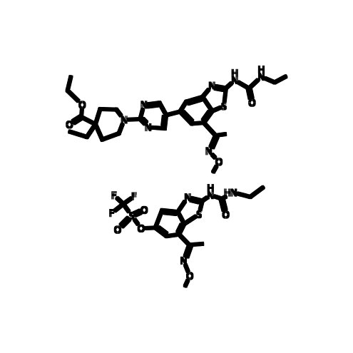 CCNC(=O)Nc1nc2cc(-c3cnc(N4CCC(CC)(C(=O)OCC)CC4)nc3)cc(/C(C)=N/OC)c2s1.CCNC(=O)Nc1nc2cc(OS(=O)(=O)C(F)(F)F)cc(/C(C)=N/OC)c2s1